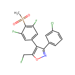 CS(=O)(=O)c1c(F)cc(-c2c(-c3cccc(Cl)c3)noc2CF)cc1F